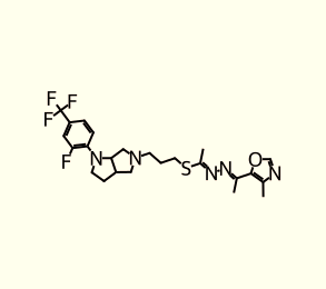 C/C(=N\N=C(/C)c1ocnc1C)SCCCN1CC2CCN(c3ccc(C(F)(F)F)cc3F)C2C1